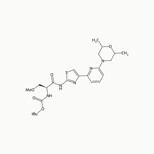 COC[C@H](NC(=O)OC(C)(C)C)C(=O)Nc1nc(-c2cccc(N3CC(C)OC(C)C3)n2)cs1